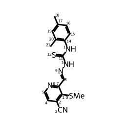 CSc1c(C#N)ccnc1C=NNC(=S)Nc1ccc(C)cc1C